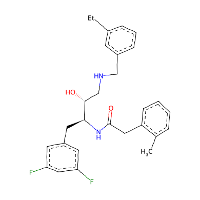 CCc1cccc(CNC[C@@H](O)[C@H](Cc2cc(F)cc(F)c2)NC(=O)Cc2ccccc2C)c1